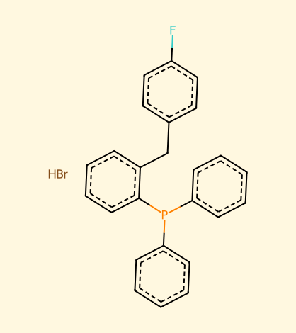 Br.Fc1ccc(Cc2ccccc2P(c2ccccc2)c2ccccc2)cc1